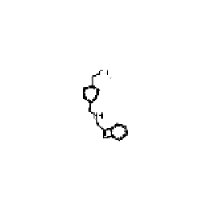 CCc1ccc(CNCC2=Cc3ccccc32)cc1